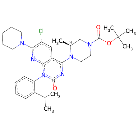 CC(C)c1ccccc1-n1c(=O)nc(N2CCN(C(=O)OC(C)(C)C)C[C@@H]2C)c2cc(Cl)c(N3CCCCC3)nc21